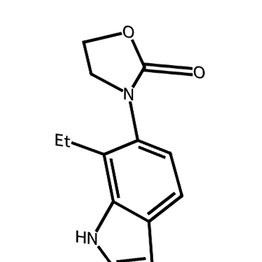 CCc1c(N2CCOC2=O)ccc2cc[nH]c12